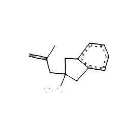 C=C(C)CC1(NC)Cc2ccccc2C1